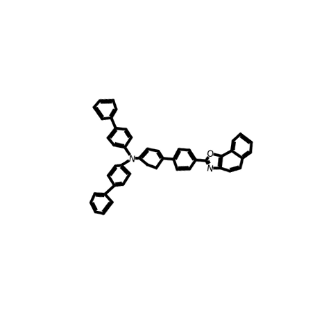 C1=C(c2ccc(-c3nc4ccc5ccccc5c4o3)cc2)CCC(N(c2ccc(-c3ccccc3)cc2)c2ccc(-c3ccccc3)cc2)=C1